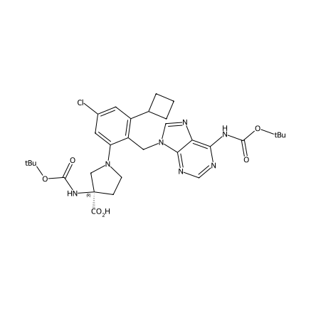 CC(C)(C)OC(=O)Nc1ncnc2c1ncn2Cc1c(C2CCC2)cc(Cl)cc1N1CC[C@](NC(=O)OC(C)(C)C)(C(=O)O)C1